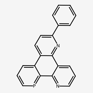 c1ccc(-c2ccc3c4cccpc4c4ncccc4c3n2)cc1